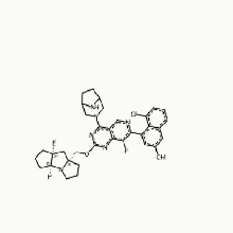 Oc1cc(-c2ncc3c(N4CC5CCC(C4)N5)nc(OC[C@]45CCCN4[C@H]4CCC[C@@]4(F)C5)nc3c2F)c2c(Cl)cccc2c1